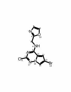 Clc1nc(NCc2ncco2)c2cc(Br)cn2n1